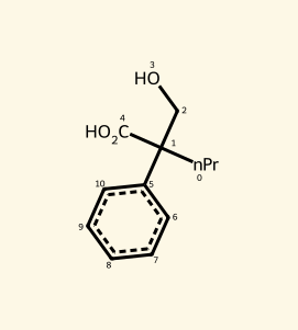 CCCC(CO)(C(=O)O)c1ccccc1